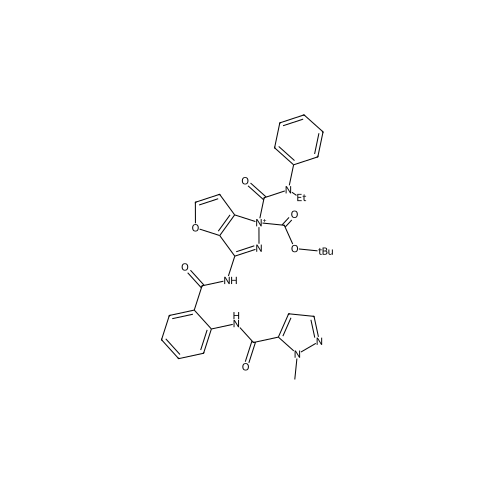 CCN(C(=O)[N+]1(C(=O)OC(C)(C)C)N=C(NC(=O)c2ccccc2NC(=O)c2ccnn2C)c2occc21)c1ccccc1